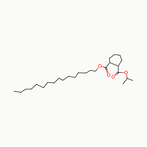 CCCCCCCCCCCCCCCCOC(=O)C1CCCCC1C(=O)OC(C)C